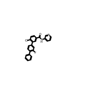 O=C(Nc1cccnc1)c1ccc(Cl)c(-c2ccc(-c3ccccc3)c(F)c2)c1